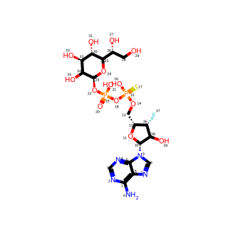 Nc1ncnc2c1ncn2[C@@H]1O[C@H](COP(O)(=S)OP(=O)(O)O[C@@H]2OC([C@H](O)CO)[C@@H](O)[C@H](O)C2O)[C@H](F)C1O